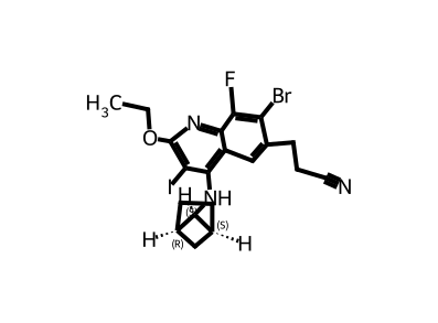 CCOc1nc2c(F)c(Br)c(CCC#N)cc2c(N[C@@H]2[C@@H]3CC[C@H]2C3)c1I